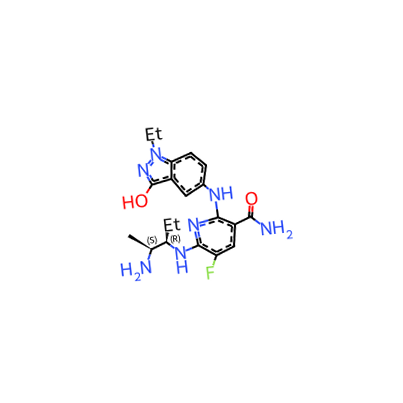 CC[C@@H](Nc1nc(Nc2ccc3c(c2)c(O)nn3CC)c(C(N)=O)cc1F)[C@H](C)N